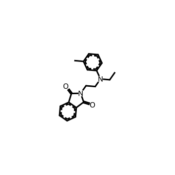 CCN(CCN1C(=O)c2ccccc2C1=O)c1cccc(C)c1